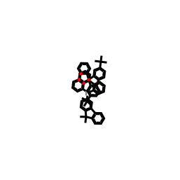 CC(C)(C)c1ccc2c(c1)C1(c3cc(C(C)(C)C)ccc3-2)c2ccccc2-c2cccc(N(c3ccc4c(c3)-c3ccccc3C4(C)C)c3ccccc3-c3ccccc3)c21